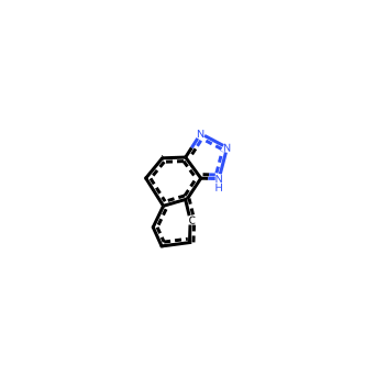 [c]1cc2ccccc2c2[nH]nnc12